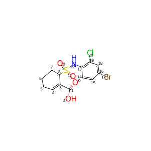 O=C(O)C1=CCCCC1S(=O)(=O)Nc1ccc(Br)cc1Cl